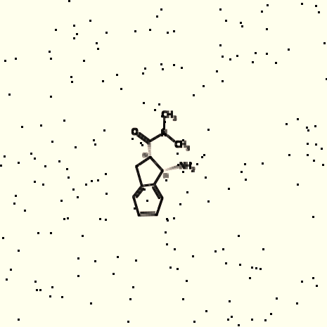 CN(C)C(=O)[C@H]1Cc2ccccc2[C@H]1N